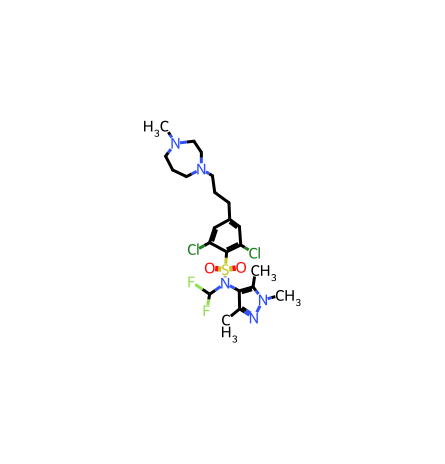 Cc1nn(C)c(C)c1N(C(F)F)S(=O)(=O)c1c(Cl)cc(CCCN2CCCN(C)CC2)cc1Cl